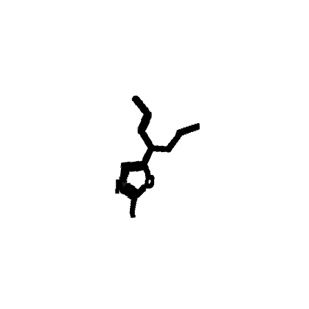 CCCC(CCC)c1cnc(C)o1